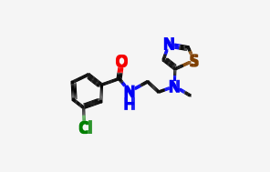 CN(CCNC(=O)c1cccc(Cl)c1)c1cncs1